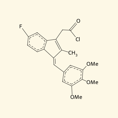 COc1cc(C=C2C(C)=C(CC(=O)Cl)c3cc(F)ccc32)cc(OC)c1OC